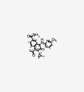 COc1ccnc(N[C@H]2c3cc(C(N)=O)ccc3N(C(C)=O)[C@@H](C3CC3)[C@@H]2C)n1